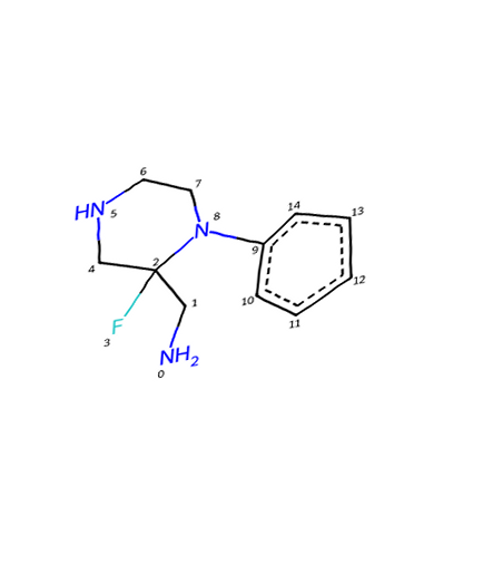 NCC1(F)CNCCN1c1ccccc1